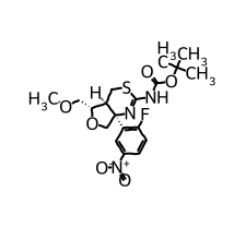 COC[C@H]1OC[C@]2(c3cc([N+](=O)[O-])ccc3F)N=C(NC(=O)OC(C)(C)C)SC[C@H]12